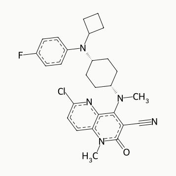 Cn1c(=O)c(C#N)c(N(C)[C@H]2CC[C@@H](N(c3ccc(F)cc3)C3CCC3)CC2)c2nc(Cl)ccc21